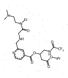 CCN(CCN(C)C)C(=O)CNCc1cc(C(=O)OC(CNC(=O)C(F)(F)F)CC(=O)OC(C)C)ccn1